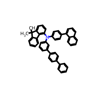 CC1(C)c2ccccc2-c2c(N(c3ccc(-c4cccc5ccccc45)cc3)c3cccc(-c4ccc(-c5ccccc5)cc4)c3)cccc21